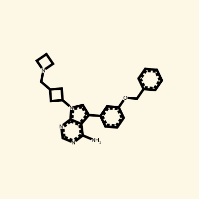 Nc1ncnc2c1c(-c1cccc(OCc3ccccc3)c1)cn2C1CC(CN2CCC2)C1